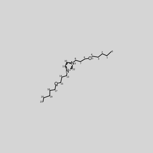 CCCCCOCCCn1cc[n+](CCCOCCCCC)c1